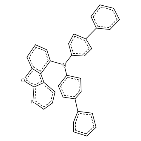 c1ccc(-c2ccc(N(c3ccc(-c4ccccc4)cc3)c3cccc4oc5ncccc5c34)cc2)cc1